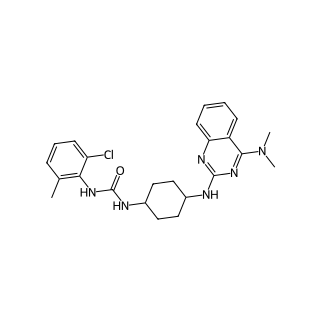 Cc1cccc(Cl)c1NC(=O)NC1CCC(Nc2nc(N(C)C)c3ccccc3n2)CC1